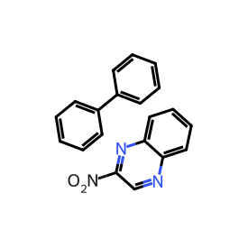 O=[N+]([O-])c1cnc2ccccc2n1.c1ccc(-c2ccccc2)cc1